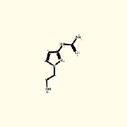 N=C(N)Nc1ccn(CCO)n1